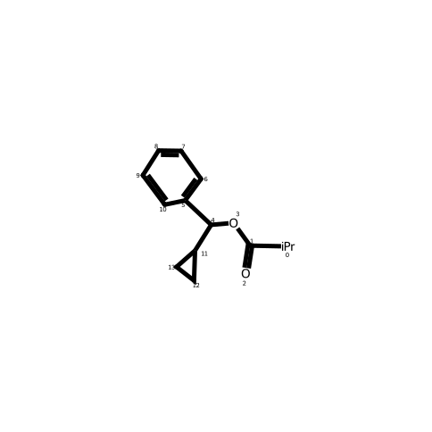 CC(C)C(=O)OC(c1ccccc1)C1CC1